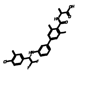 Cc1cc([C@H](Nc2cccc(-c3cc(C)c(C(=O)NC(C)C(=O)O)c(C)c3)c2)C(F)F)ccc1Cl